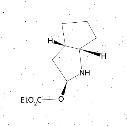 CCOC(=O)O[C@H]1C[C@@H]2CCC[C@@H]2N1